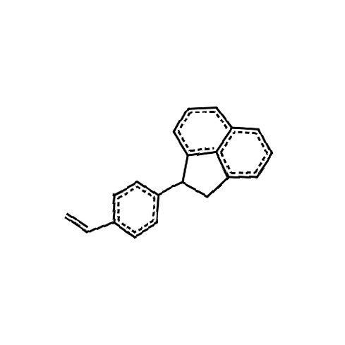 C=Cc1ccc(C2Cc3cccc4cccc2c34)cc1